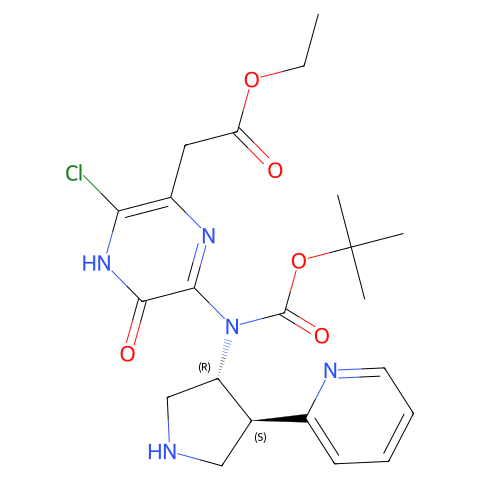 CCOC(=O)Cc1nc(N(C(=O)OC(C)(C)C)[C@H]2CNC[C@@H]2c2ccccn2)c(=O)[nH]c1Cl